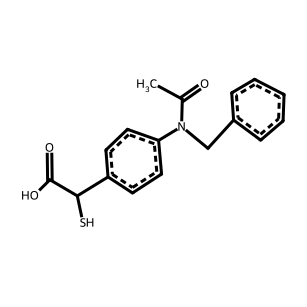 CC(=O)N(Cc1ccccc1)c1ccc(C(S)C(=O)O)cc1